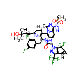 Cc1nc(NS(C)(=O)=O)c2cccc(-c3ccc(C#CC(C)(C)O)nc3[C@H](Cc3cc(F)cc(F)c3)NC(=O)Cn3nc(C(F)(F)F)c4c3C(F)(F)C3C[C@H]43)n12